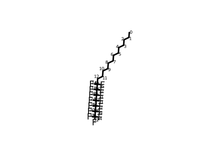 CCCCCCCCCCCCCC(F)(F)C(F)(F)C(F)(F)C(F)(F)C(F)(F)C(F)(F)C(F)(F)F